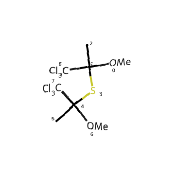 COC(C)(SC(C)(OC)C(Cl)(Cl)Cl)C(Cl)(Cl)Cl